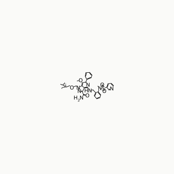 COc1c(-c2ccccc2)nc(NCc2ccccc2N(C)S(=O)(=O)c2cccnc2)c2c(C(N)=O)nn(COCC[Si](C)(C)C)c12